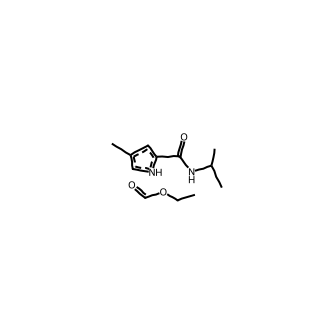 CCOC=O.Cc1c[nH]c(C(=O)NC(C)C)c1